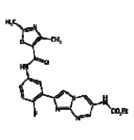 CCOC(=O)Nc1cnc2nc(-c3cc(NC(=O)c4oc(C)nc4C)ccc3F)cn2c1